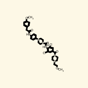 COCCN1CCN(C(=O)c2cc(Cl)c(NC(=N)N3CCN(c4ccc(NC(=O)Cc5ccc(OC)cc5)cc4)CC3)c(Cl)c2)CC1